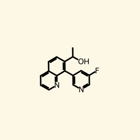 CC(O)c1ccc2cccnc2c1-c1cncc(F)c1